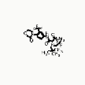 CC(C)(C)CN(CC(F)(F)F)[C@@H](C(N)=O)C(=O)Nc1ccc(N2CCOCC2=O)c(C(F)(F)F)c1